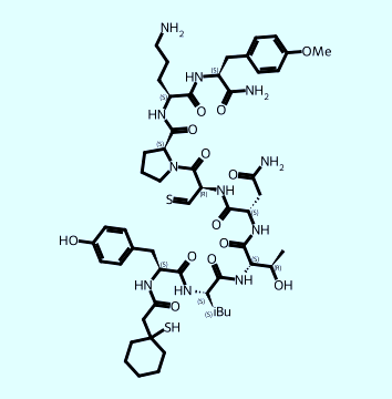 CC[C@H](C)[C@H](NC(=O)[C@H](Cc1ccc(O)cc1)NC(=O)CC1(S)CCCCC1)C(=O)N[C@H](C(=O)N[C@@H](CC(N)=O)C(=O)N[C@@H](C=S)C(=O)N1CCC[C@H]1C(=O)N[C@@H](CCCN)C(=O)N[C@@H](Cc1ccc(OC)cc1)C(N)=O)[C@@H](C)O